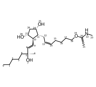 CCCCC[C@](C)(O)/C=C/[C@@H]1[C@@H](C/C=C\CCCCOC(=S)NC)[C@@H](O)C[C@H]1O